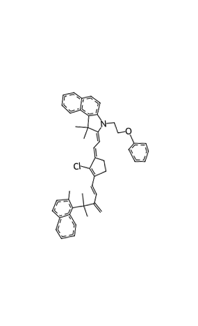 C=C(/C=C/C1=C(Cl)C(=C/C=C2/N(CCOc3ccccc3)c3ccc4ccccc4c3C2(C)C)/CC1)C(C)(C)c1c(C)ccc2ccccc12